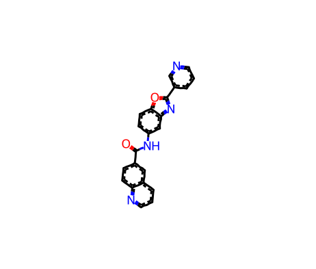 O=C(Nc1ccc2oc(-c3cccnc3)nc2c1)c1ccc2ncccc2c1